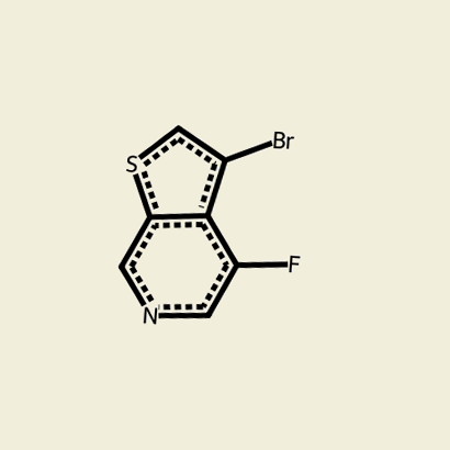 Fc1cncc2scc(Br)c12